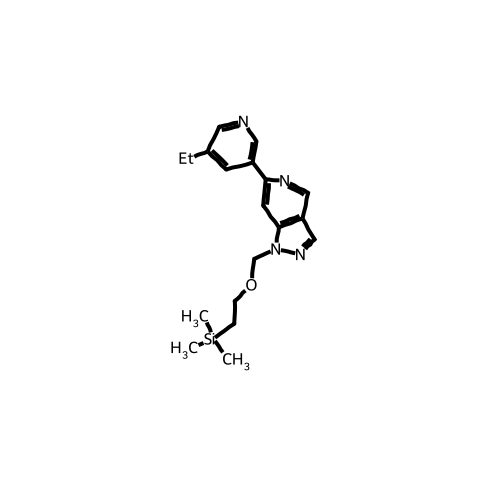 CCc1cncc(-c2cc3c(cn2)cnn3COCC[Si](C)(C)C)c1